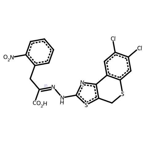 O=C(O)/C(Cc1ccccc1[N+](=O)[O-])=N\Nc1nc2c(s1)CSc1cc(Cl)c(Cl)cc1-2